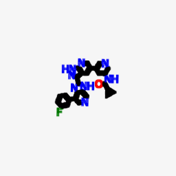 O=C(Nc1cncc(-c2cnc3[nH]nc(-c4nc5c(-c6cccc(F)c6)cncc5[nH]4)c3c2)c1)C1CC1